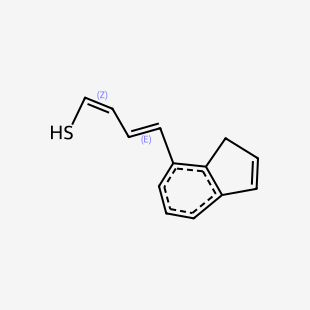 S/C=C\C=C\c1cccc2c1CC=C2